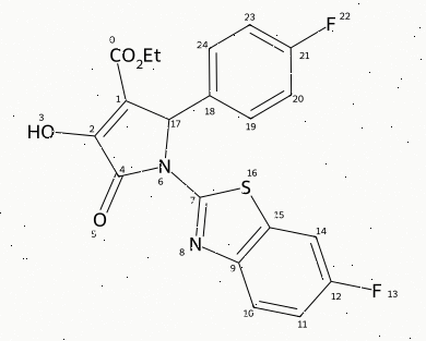 CCOC(=O)C1=C(O)C(=O)N(c2nc3ccc(F)cc3s2)C1c1ccc(F)cc1